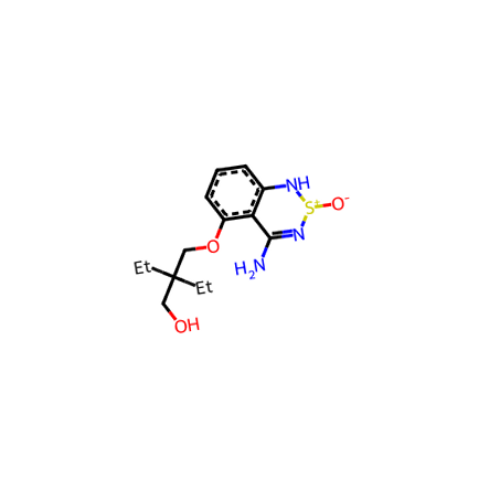 CCC(CC)(CO)COc1cccc2c1C(N)=N[S+]([O-])N2